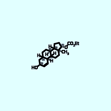 CCOC(=O)O[C@H]1CC[C@H]2[C@@H]3CC[C@H]4C[C@H](O)C=C[C@@H]4[C@H]3CC[C@]12C